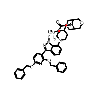 Cn1nc(-c2ccc(OCc3ccccc3)nc2OCc2ccccc2)c2cccc(N3CCC(CN4C5COCC4CN(C(=O)OC(C)(C)C)C5)CC3)c21